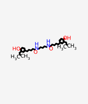 CC(C)Cc1cc(CCCCC(=O)NCCCCCNC(=O)CCCCc2ccc(O)c(CC(C)C)c2)ccc1O